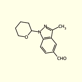 Cc1nn(C2CCCCO2)c2ccc(C=O)cc12